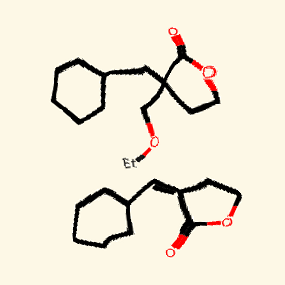 CCOCC1(CC2CCCCC2)CCOC1=O.O=C1OCCC1=CC1CCCCC1